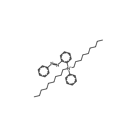 CCCCCCCCC[N+](CCCCCCCCC)(c1ccccc1)c1ccccc1N=Nc1ccccc1